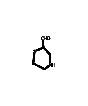 O=[C]C1CNCCS1